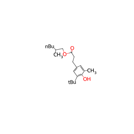 CCCCC(C)COC(=O)CCc1cc(C)c(O)c(C(C)(C)C)c1